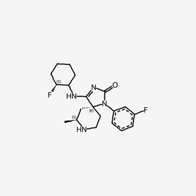 C[C@H]1C[C@]2(CCN1)C(NC1CCCC[C@@H]1F)=NC(=O)N2c1cccc(F)c1